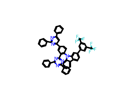 FC(F)(F)c1cc(-c2ccc3c4ccccc4n(-c4ccc(-c5cc(-c6ccccc6)nc(-c6ccccc6)n5)cc4-c4nc(-c5ccccc5)nc(-c5ccccc5)n4)c3c2)cc(C(F)(F)F)c1